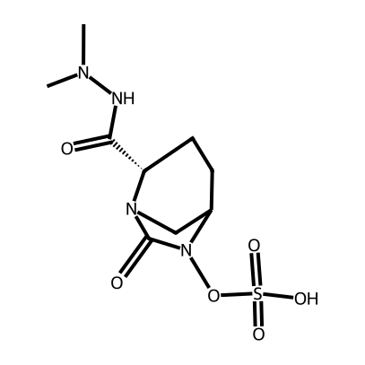 CN(C)NC(=O)[C@@H]1CCC2CN1C(=O)N2OS(=O)(=O)O